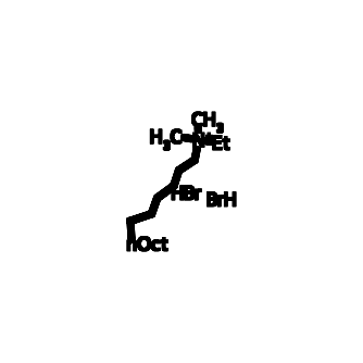 Br.Br.CCCCCCCCCCCCCC[N+](C)(C)CC